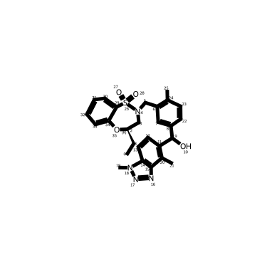 CC[C@@H]1CN(Cc2cc(C(O)c3ccc4c(nnn4C)c3C)ccc2C)S(=O)(=O)c2ccccc2O1